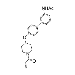 C=CC(=O)N1CCC(Oc2ccc(-c3cccc(NC(C)=O)c3)cc2)CC1